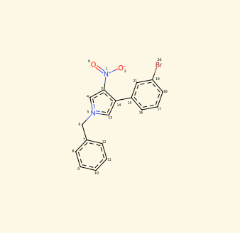 O=[N+]([O-])c1cn(Cc2ccccc2)cc1-c1cccc(Br)c1